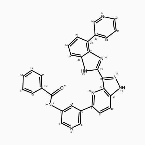 O=C(Nc1cncc(-c2ccc3[nH]nc(-c4nc5c(-c6cccnc6)cccc5[nH]4)c3n2)c1)c1ccccc1